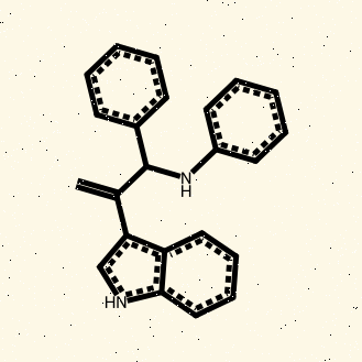 C=C(c1c[nH]c2ccccc12)C(Nc1ccccc1)c1ccccc1